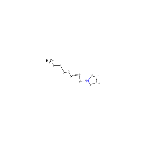 CCCCC/C=C/CN1CCCC1